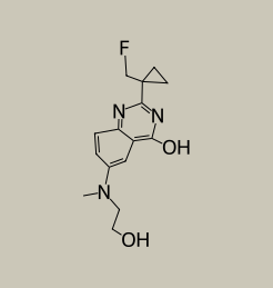 CN(CCO)c1ccc2nc(C3(CF)CC3)nc(O)c2c1